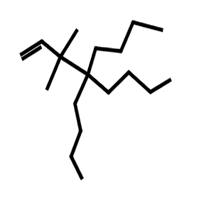 C=CC(C)(C)C(CCCC)(CCCC)CCCC